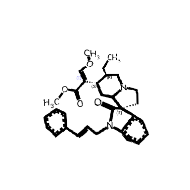 CC[C@H]1CN2CC[C@]3(C(=O)N(CC=Cc4ccccc4)c4ccccc43)C2C[C@@H]1/C(=C\OC)C(=O)OC